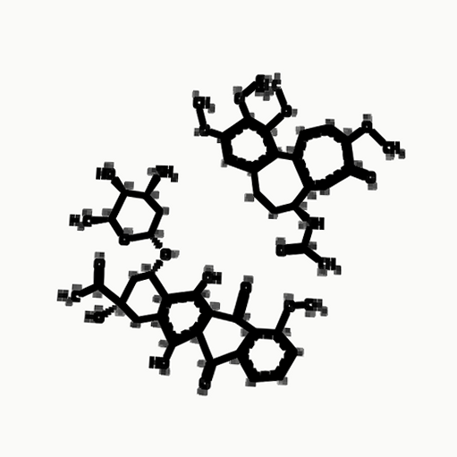 COc1cc2c(c(OC)c1OC)-c1ccc(OC)c(=O)cc1[C@@H](NC(C)=O)CC2.COc1cccc2c1C(=O)c1c(O)c3c(c(O)c1C2=O)C[C@@](O)(C(C)=O)C[C@@H]3O[C@H]1C[C@H](N)[C@H](O)[C@H](C)O1